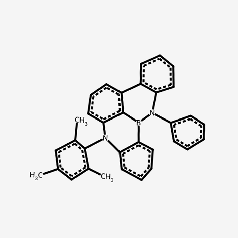 Cc1cc(C)c(N2c3ccccc3B3c4c(cccc42)-c2ccccc2N3c2ccccc2)c(C)c1